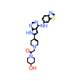 O=C(CN1CC=C(c2cc3c(Nc4ccc5ncsc5c4)ncnc3[nH]2)CC1)N1CCC(O)CC1